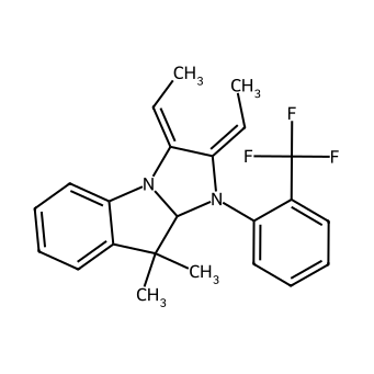 C/C=C1\C(=C/C)N2c3ccccc3C(C)(C)C2N1c1ccccc1C(F)(F)F